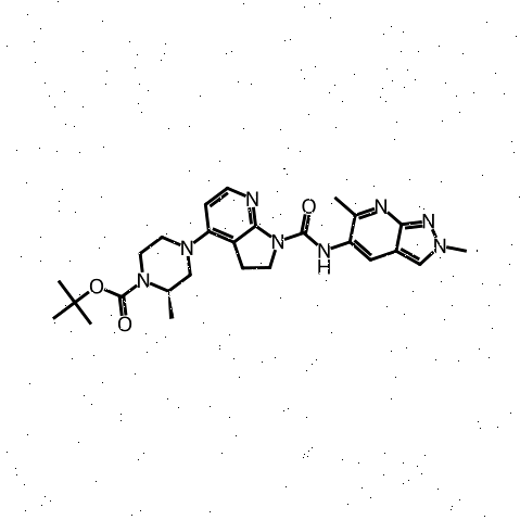 Cc1nc2nn(C)cc2cc1NC(=O)N1CCc2c(N3CCN(C(=O)OC(C)(C)C)[C@H](C)C3)ccnc21